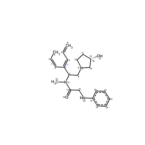 C=C/C=C(\C=C/C)C(CN1CC[C@H](O)C1)N(C)C(=O)CNc1ccccc1